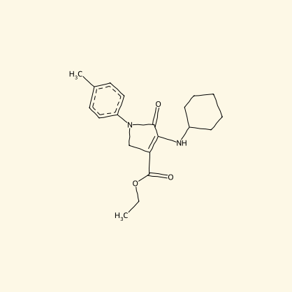 CCOC(=O)C1=C(NC2CCCCC2)C(=O)N(c2ccc(C)cc2)C1